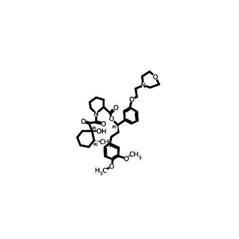 COc1ccc(CC[C@@H](OC(=O)C2CCCCN2C(=O)C(=O)[C@@]2(O)CCCC[C@H]2C)c2cccc(OCCN3CCOCC3)c2)cc1OC